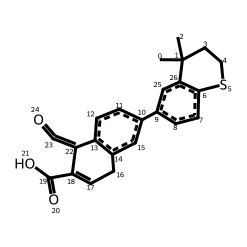 CC1(C)CCSc2ccc(-c3ccc4c(c3)CC=C(C(=O)O)C4=C=O)cc21